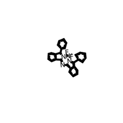 F[N+]1(F)n2c(c3ccccc3c2-c2ccccc2)N=C2c3ccccc3C(c3ccccc3)=[N+]21